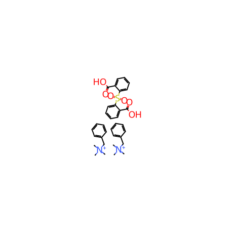 C[N+](C)(C)Cc1ccccc1.C[N+](C)(C)Cc1ccccc1.O=C(O)c1ccccc1S(=O)(=O)c1ccccc1C(=O)O